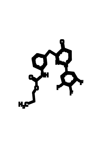 CCCOC(=O)Nc1cccc(Cc2nn(-c3cc(F)c(F)c(F)c3)ccc2=O)c1